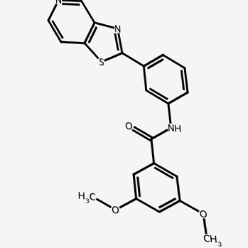 COc1cc(OC)cc(C(=O)Nc2cccc(-c3nc4cnccc4s3)c2)c1